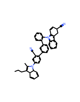 CCCC1=C(C)N(c2ccc(-c3cccc(-c4ccccc4-n4c5c(c6ccccc64)CC(C#N)C=C5)c3)c(C#N)c2)C2C=CC=CC12